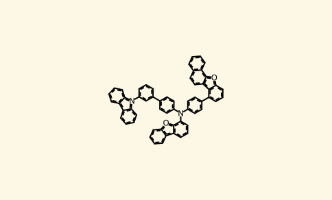 c1cc(-c2ccc(N(c3ccc(-c4cccc5oc6c7ccccc7ccc6c45)cc3)c3cccc4c3oc3ccccc34)cc2)cc(-n2c3ccccc3c3ccccc32)c1